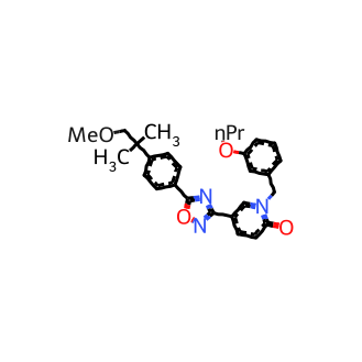 CCCOc1cccc(Cn2cc(-c3noc(-c4ccc(C(C)(C)COC)cc4)n3)ccc2=O)c1